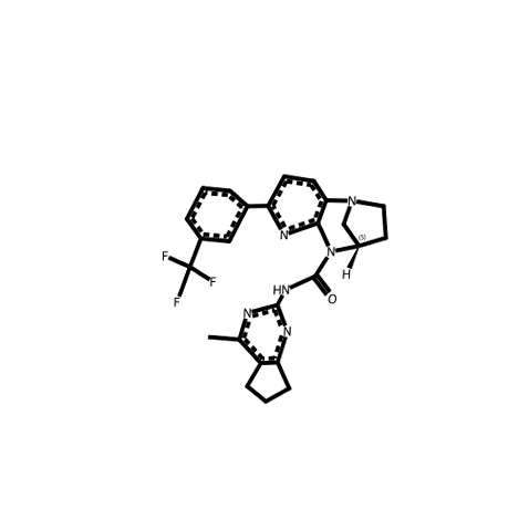 Cc1nc(NC(=O)N2c3nc(-c4cccc(C(F)(F)F)c4)ccc3N3CC[C@H]2C3)nc2c1CCC2